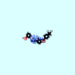 COc1cccc(Nc2ncnc(-c3cccc(NC(=O)c4ccc(C(C)(C)C)cc4)c3C)n2)c1